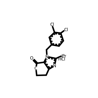 CC(C)c1nc2c(n1Cc1ccc(Cl)c(Cl)c1)C(=O)CCC2.Cl